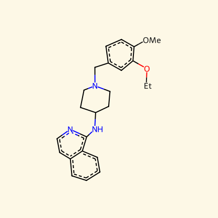 CCOc1cc(CN2CCC(Nc3nccc4ccccc34)CC2)ccc1OC